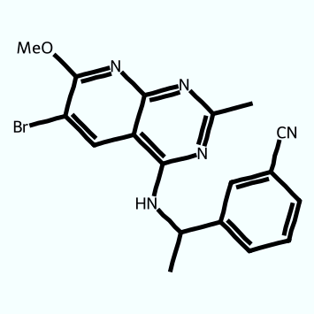 COc1nc2nc(C)nc(NC(C)c3cccc(C#N)c3)c2cc1Br